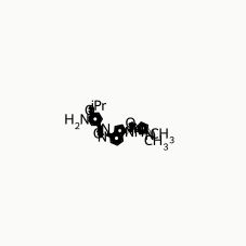 CC(C)Oc1ccc(-c2nc(-c3cccc4c3CC[C@@H]4NC(=O)N3CC[C@H](N(C)C)C3)no2)cc1N